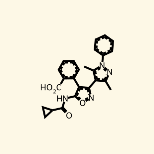 Cc1nn(-c2ccccc2)c(C)c1-c1noc(NC(=O)C2CC2)c1-c1ccccc1C(=O)O